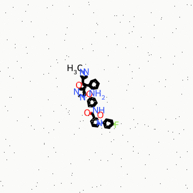 Cn1cc(-c2oc3ncnc(Oc4ccc(NC(=O)c5cccn(-c6ccc(F)cc6)c5=O)cc4)c3c2-c2ccccc2N)cn1